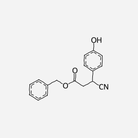 N#CC(CC(=O)OCc1ccccc1)c1ccc(O)cc1